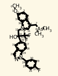 COc1ccc2c(C[As](C)C)cn(CC(O)(c3ccc4c(cnn4-c4ccc(F)cc4)c3)C(F)(F)F)c2c1